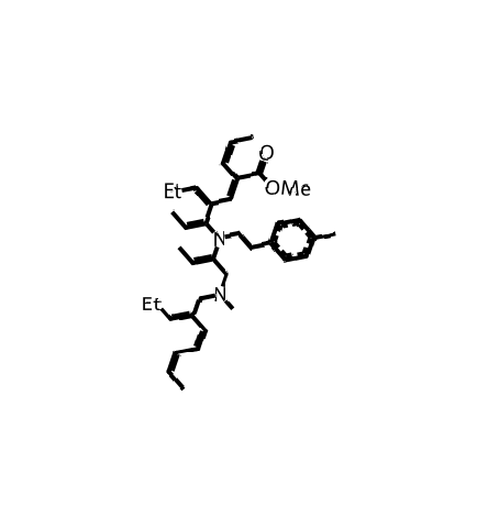 C\C=C/C=C\C(=C\CC)CN(C)C/C(=C/C)N(CCc1ccc(C)cc1)C(=C/C)/C(=C\CC)/C=C(\C=C/C)C(=O)OC